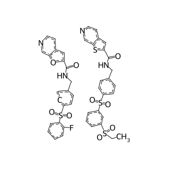 CCS(=O)(=O)c1cccc(S(=O)(=O)c2ccc(CNC(=O)c3cc4ccncc4s3)cc2)c1.O=C(NCc1ccc(S(=O)(=O)c2ccccc2F)cc1)c1cc2ccncc2o1